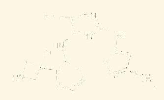 Cn1cc(Nc2ncc(C(F)(F)F)c(Nc3ccccc3C3(O)CNC3)n2)cn1